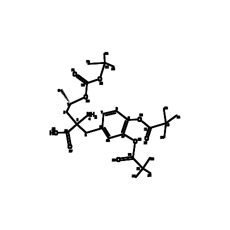 C[C@@H](CC(N)(Cc1ccc(OC(=O)C(C)(C)C)c(OC(=O)C(C)(C)C)c1)C(=O)O)OC(=O)OC(C)(C)C